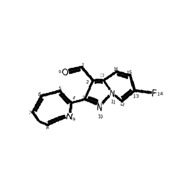 O=Cc1c(-c2ccccn2)nn2cc(F)ccc12